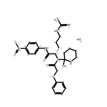 CC1(N(C(=O)COc2ccccc2)[C@@H](CCCNC(=N)N)C(=O)Nc2ccc([N+](=O)[O-])cc2)CCCCN1.Cl